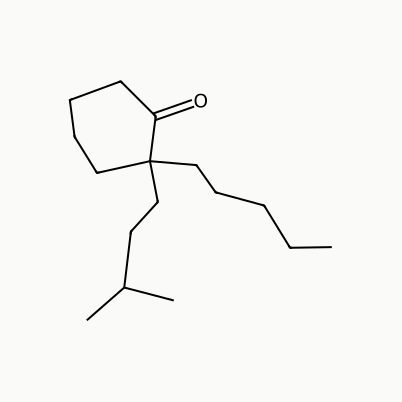 CCCCCC1(CCC(C)C)CCCCC1=O